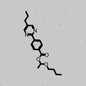 CCCCOC(C)OC(=O)c1ccc(-c2ncc(CCC)cn2)cc1